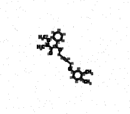 CON(C)C(=O)N(OCC#CCOc1ccc(C)c(C)c1)c1ccccc1